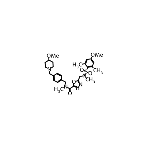 COc1cc(C)c(S(=O)(=O)N(C)Cc2nnc(C(=O)N(C)Cc3ccc(CN4CCC(OC)CC4)cc3)o2)c(C)c1